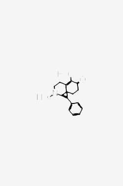 CC1=C2CCN(C)C3=C(c4ccccc4)C23CCC1=O